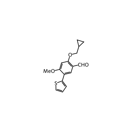 COc1cc(OCC2CC2)c(C=O)cc1-c1cccs1